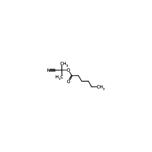 C[CH]CCCC(=O)OC(C)(C)C#N